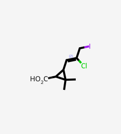 CC1(C)C(/C=C(\Cl)CI)C1C(=O)O